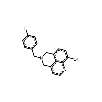 Oc1ccc2c3c(ccnc13)CN(Cc1ccc(F)cc1)C2